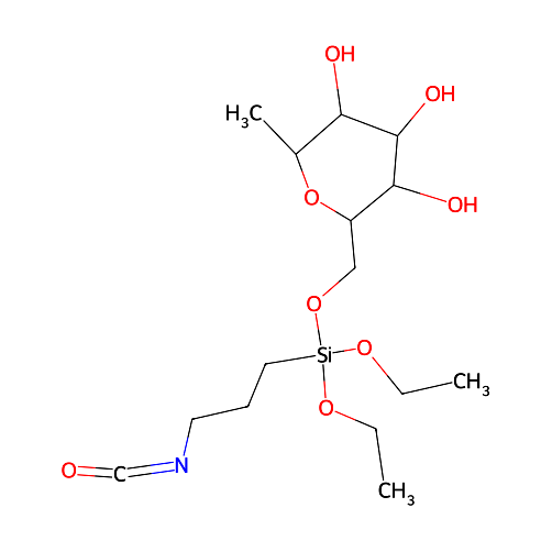 CCO[Si](CCCN=C=O)(OCC)OCC1OC(C)C(O)C(O)C1O